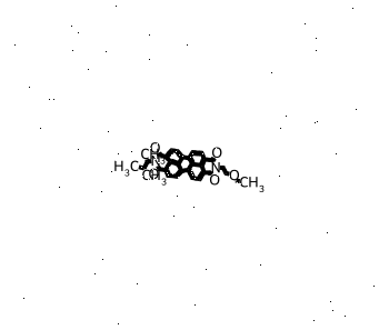 CCOCCN1C(=O)c2ccc3c4ccc5c6c(ccc(c7ccc(c2c37)C1=O)c64)C(=O)N(C(C)C(C)C)C5=O